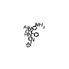 CC(=O)N1C(=O)/C(=C(\Nc2ccc(CN3CCCC3)nc2)c2ccccc2)c2ccc(N)cc21